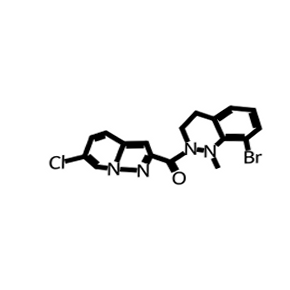 CN1c2c(Br)cccc2CCN1C(=O)c1cc2ccc(Cl)cn2n1